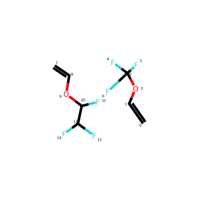 C=COC(F)(F)F.C=COC(F)C(F)F